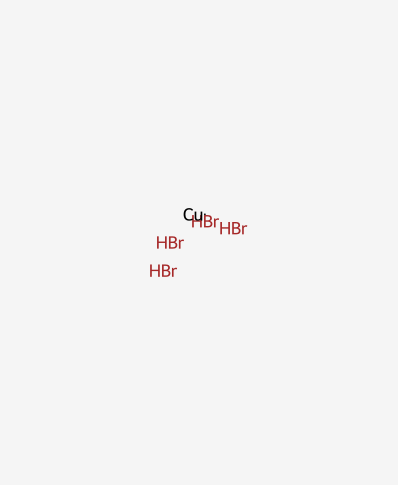 Br.Br.Br.Br.[Cu]